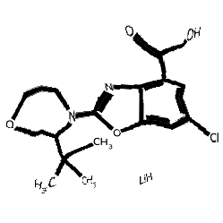 CC(C)(C)C1COCCN1c1nc2c(C(=O)O)cc(Cl)cc2o1.[LiH]